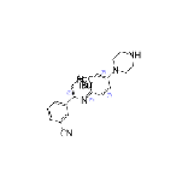 C\C=C(/C=C\C(=N\C(=C/C(C)=O)c1cccc(C#N)c1)C(C)CC)N1CCNCC1